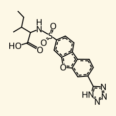 CCC(C)C(NS(=O)(=O)c1ccc2c(c1)oc1cc(-c3nnn[nH]3)ccc12)C(=O)O